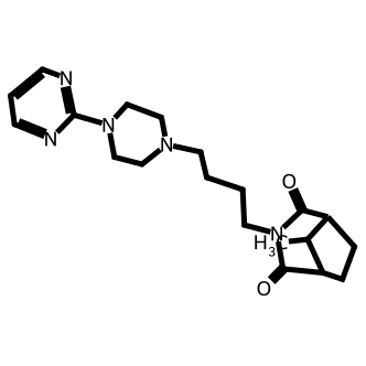 CC1C2CCC1C(=O)N(CCCCN1CCN(c3ncccn3)CC1)C2=O